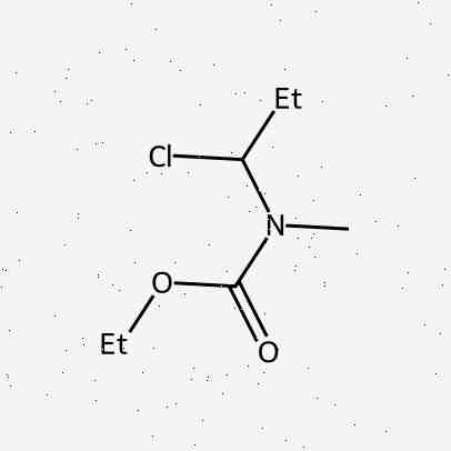 CCOC(=O)N(C)C(Cl)CC